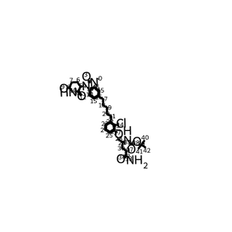 Cn1c(=O)n(C2CCC(=O)NC2=O)c2ccc(CCCCCc3cccc(OCC(CCC(N)=O)NC(=O)OC(C)(C)C)c3Cl)cc21